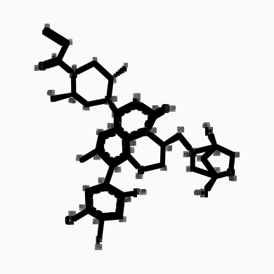 C=CC(=O)N1C[C@H](C)N(c2nc(=O)n3c4c(c(-c5cc(Cl)c(F)cc5F)c(C)cc24)SC[C@@H]3CN2C[C@@H]3C[C@H]2CO3)C[C@H]1C